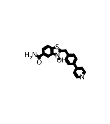 NC(=O)c1ccc2c(c1)N(O)C(Cc1ccc(-c3ccncc3)cc1)S2